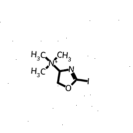 C[N+](C)(C)C1COC(I)=N1